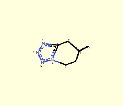 CC1CCn2nnnc2C1